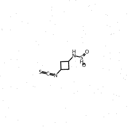 O=[SH](=O)NC1CC(N=C=S)C1